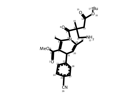 COC(=O)C1=C(C)N(C(=O)C(C)(CN)CC(=O)OC(C)(C)C)C(C)=CC1c1ccc(C#N)cc1